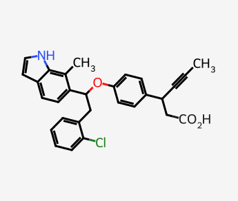 CC#CC(CC(=O)O)c1ccc(OC(Cc2ccccc2Cl)c2ccc3cc[nH]c3c2C)cc1